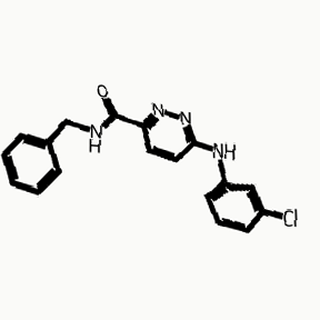 O=C(NCc1ccccc1)c1ccc(Nc2cccc(Cl)c2)nn1